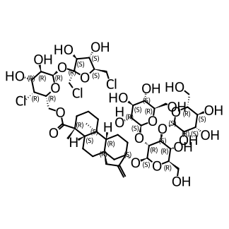 C=C1C[C@@]23CC[C@H]4[C@@](C)(CCC[C@@]4(C)C(=O)OC[C@H]4O[C@H](O[C@]5(CCl)O[C@H](CCl)[C@@H](O)[C@@H]5O)[C@H](O)[C@@H](O)[C@H]4Cl)[C@@H]2CC[C@]1(O[C@@H]1O[C@H](CO)[C@@H](O)[C@H](O[C@@H]2O[C@H](CO)[C@@H](O)[C@H](O)[C@H]2O)[C@H]1O[C@@H]1O[C@H](CO)[C@@H](O)[C@H](O)[C@H]1O)C3